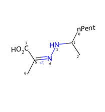 CCCCCC(C)N/N=C(/C)C(=O)O